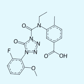 CCN(C(=O)n1nnn(-c2c(F)cccc2OC)c1=O)c1cc(C(=O)O)ccc1C